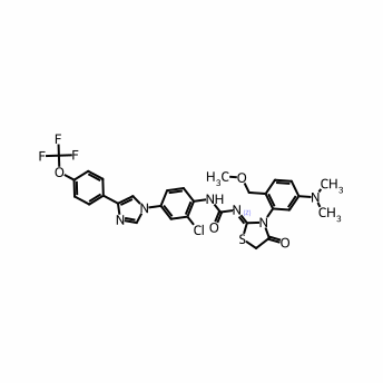 COCc1ccc(N(C)C)cc1N1C(=O)CS/C1=N\C(=O)Nc1ccc(-n2cnc(-c3ccc(OC(F)(F)F)cc3)c2)cc1Cl